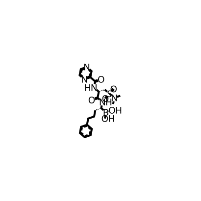 CN(C)S(=O)(=O)C[C@@H](NC(=O)c1cnccn1)C(=O)N[C@@H](CCCc1ccccc1)B(O)O